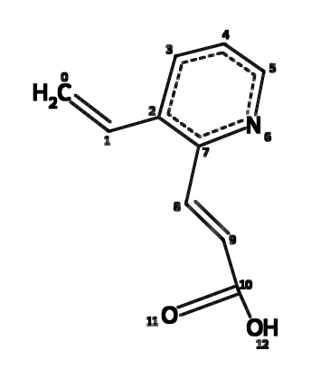 C=Cc1cccnc1C=CC(=O)O